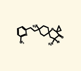 CCC1(N)CC2(CCC(N)(CCc3cccc(C(F)(F)F)n3)CC2)OC2(CC2)C1=O